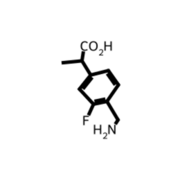 CC(C(=O)O)c1ccc(CN)c(F)c1